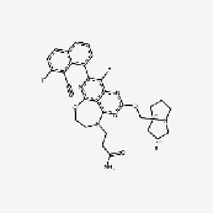 C#Cc1c(F)ccc2cccc(-c3nc4c5c(nc(OC[C@@]67CCCN6C[C@H](F)C7)nc5c3F)N(CCC(N)=O)CCO4)c12